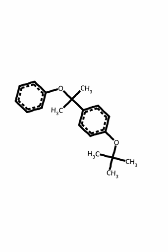 CC(C)(C)Oc1ccc(C(C)(C)Oc2ccccc2)cc1